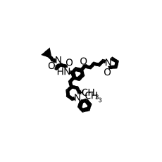 Cc1ccccc1N1CCCC(Cc2ccc(C(=O)CCCCN3CCCC3=O)cc2NC(=O)c2coc(C3CC3)n2)C[C@H]1C